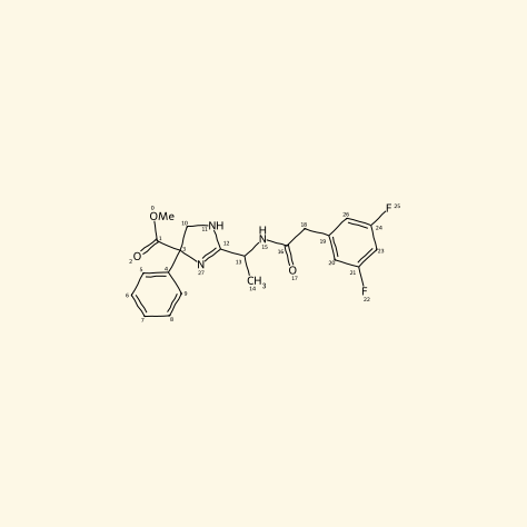 COC(=O)C1(c2ccccc2)CNC(C(C)NC(=O)Cc2cc(F)cc(F)c2)=N1